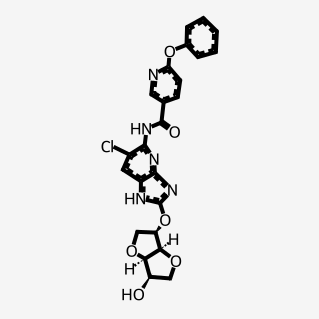 O=C(Nc1nc2nc(O[C@@H]3CO[C@H]4[C@@H]3OC[C@H]4O)[nH]c2cc1Cl)c1ccc(Oc2ccccc2)nc1